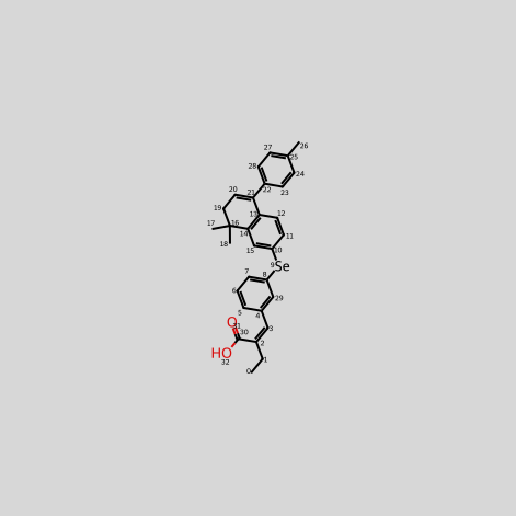 CCC(=Cc1cccc([Se]c2ccc3c(c2)C(C)(C)CC=C3c2ccc(C)cc2)c1)C(=O)O